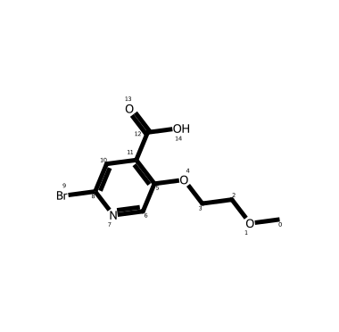 COCCOc1cnc(Br)cc1C(=O)O